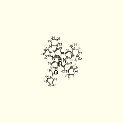 CC1(C)CCC(C)(C)c2cc(Nc3cc4c(cc3-c3cc(-c5ccccc5)c5c6ccccc6n6c5c3Bc3cc5oc(-c7ccccc7)cc5cc3-6)C(C)(C)CCC4(C)C)ccc21